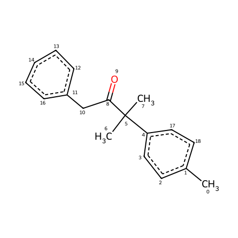 Cc1ccc(C(C)(C)C(=O)Cc2ccccc2)cc1